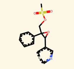 CS(=O)(=O)OCC1(c2ccccc2)OC1c1cccnc1